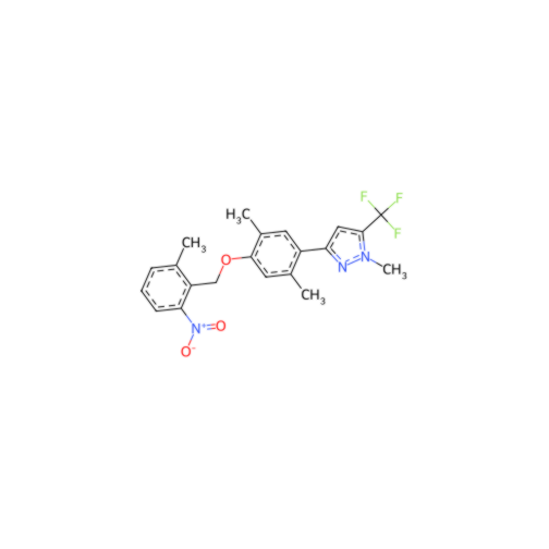 Cc1cc(-c2cc(C(F)(F)F)n(C)n2)c(C)cc1OCc1c(C)cccc1[N+](=O)[O-]